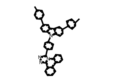 Cc1ccc(-c2ccc3c(c2)c2cc(-c4ccc(C)cc4)ccc2n3-c2ccc(-c3nnc4c5ccccc5c5ccccc5n34)cc2)cc1